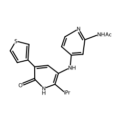 CC(=O)Nc1cc(Nc2cc(-c3ccsc3)c(=O)[nH]c2C(C)C)ccn1